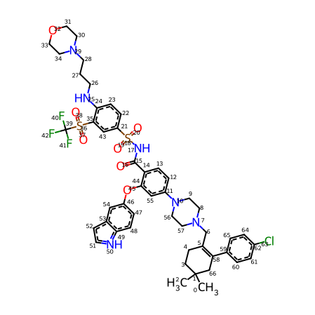 CC1(C)CCC(CN2CCN(c3ccc(C(=O)NS(=O)(=O)c4ccc(NCCCN5CCOCC5)c(S(=O)(=O)C(F)(F)F)c4)c(Oc4ccc5[nH]ccc5c4)c3)CC2)=C(c2ccc(Cl)cc2)C1